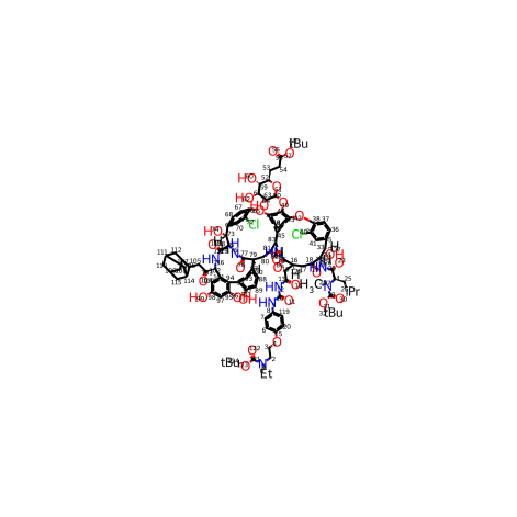 CCN(CCOc1ccc(NC(=O)NC(=O)C[C@@H]2CC(=O)[C@H](NC(=O)[C@@H](CC(C)C)N(C)C(=O)OC(C)(C)C)[C@H](O)c3ccc(c(Cl)c3)Oc3cc4cc(c3O[C@@H]3O[C@H](CCC(=O)OC(C)(C)C)[C@@H](O)[C@H](O)[C@H]3O)Oc3ccc(cc3Cl)[C@@H](O)[C@@H]3NC(=O)[C@H](CC(=O)[C@@H]4NC2=O)c2ccc(O)c(c2)-c2c(O)cc(O)cc2[C@@H](C(=O)CC2C4CC5CC(C4)CC2C5)NC3=O)cc1)C(=O)OC(C)(C)C